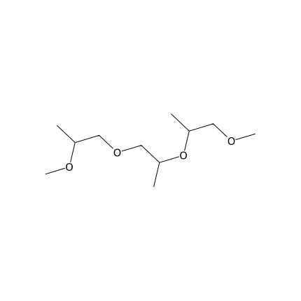 COCC(C)OC(C)COCC(C)OC